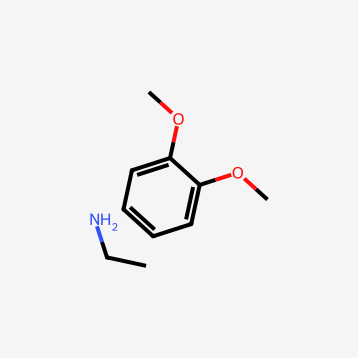 CCN.COc1ccccc1OC